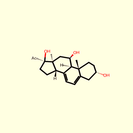 CC(=O)[C@@]1(O)CC[C@H]2C3=CC=C4C[C@@H](O)CC[C@@]4(C)[C@@H]3[C@H](O)C[C@@]21C